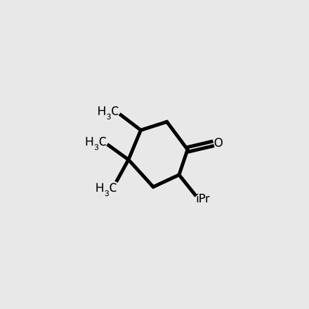 CC(C)C1CC(C)(C)C(C)CC1=O